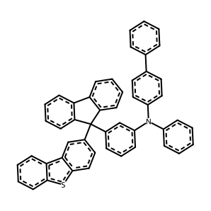 c1ccc(-c2ccc(N(c3ccccc3)c3cccc(C4(c5ccc6sc7ccccc7c6c5)c5ccccc5-c5ccccc54)c3)cc2)cc1